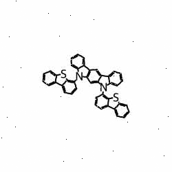 c1ccc2c(c1)sc1c(-n3c4ccccc4c4cc5c6ccccc6n(-c6cccc7c6sc6ccccc67)c5cc43)cccc12